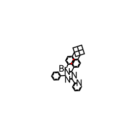 Brc1ccc(C23CC4CC5CC(c6ccc(-c7nc(-c8ccccc8)nc(-c8ccccn8)n7)cc6)(C2)C453)cc1